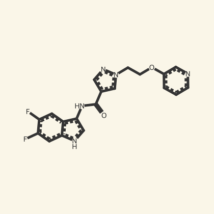 O=C(Nc1c[nH]c2cc(F)c(F)cc12)c1cnn(CCOc2cccnc2)c1